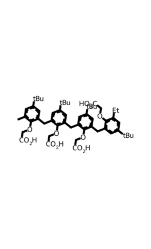 CCc1cc(C(C)(C)C)cc(Cc2cc(C(C)(C)C)cc(Cc3cc(C(C)(C)C)cc(Cc4cc(C(C)(C)C)cc(C)c4OCC(=O)O)c3OCC(=O)O)c2OCC(=O)O)c1OCC(=O)O